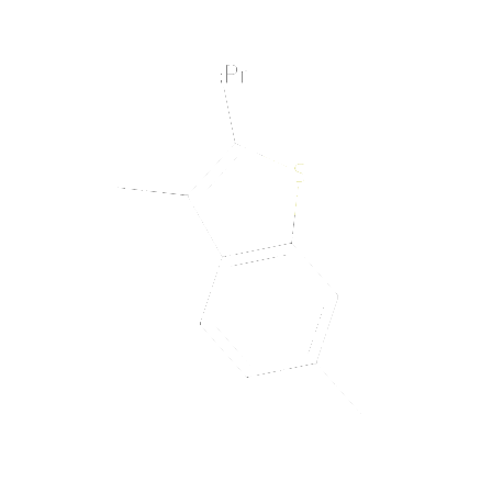 Cc1ccc2c(C)c(C(C)C)sc2c1